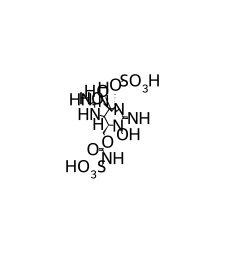 N=C1N[C@H]2[C@H](COC(=O)NS(=O)(=O)O)N(O)C(=N)N3C[C@@H](OS(=O)(=O)O)C(O)(O)C23N1